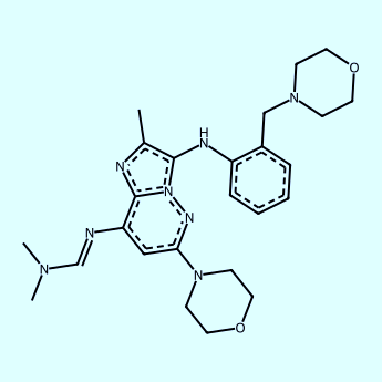 Cc1nc2c(/N=C/N(C)C)cc(N3CCOCC3)nn2c1Nc1ccccc1CN1CCOCC1